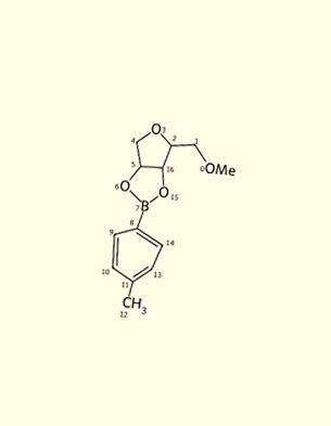 COCC1OCC2OB(c3ccc(C)cc3)OC12